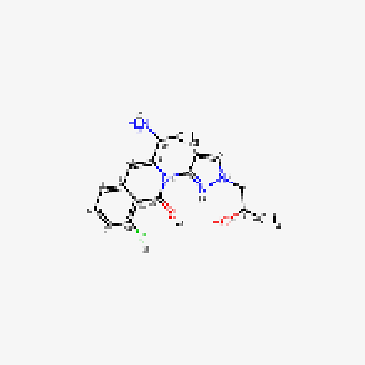 CC(O)Cn1ccc(-n2c([C@H](C)N)cc3cccc(Cl)c3c2=O)n1